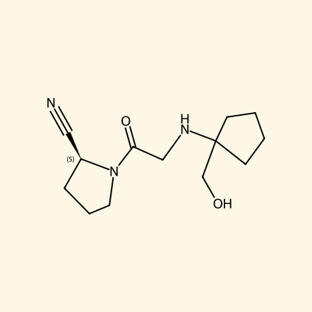 N#C[C@@H]1CCCN1C(=O)CNC1(CO)CCCC1